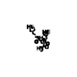 CCNC(=O)c1cc(C(=O)NCCCC2CCNCC2)cn(Cc2ccccc2)c1=O.Cl